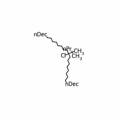 CCCCCCCCCCCCCCCCCCC(Cl)(CCCCCCCCCCCCCCCCCC)C(C)(C)CCC